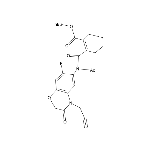 C#CCN1C(=O)COc2cc(F)c(N(C(C)=O)C(=O)C3=C(C(=O)OCCCC)CCCC3)cc21